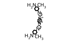 Cc1cc(N2CCC([N+]34CC[N+](C5CCN(c6ccc(N)c(C)c6)C5)(CC3)CC4)C2)ccc1N